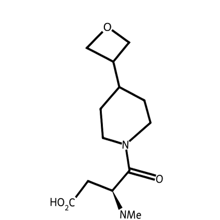 CN[C@@H](CC(=O)O)C(=O)N1CCC(C2COC2)CC1